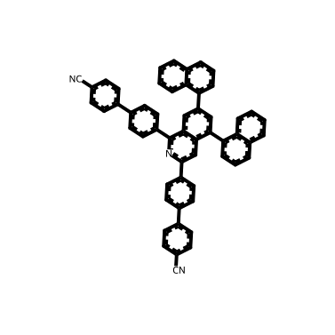 N#Cc1ccc(-c2ccc(-c3cc4c(-c5cccc6ccccc56)cc(-c5cccc6ccccc56)cc4c(-c4ccc(-c5ccc(C#N)cc5)cc4)n3)cc2)cc1